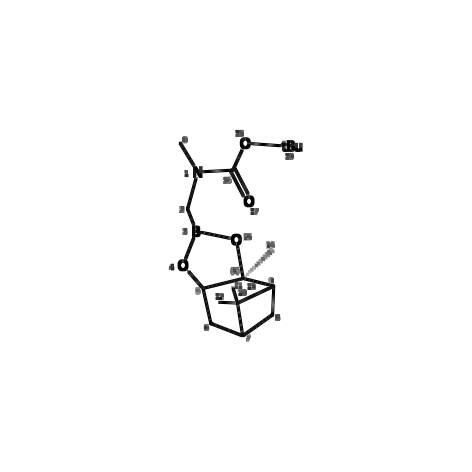 CN(CB1OC2CC3CC(C3(C)C)[C@]2(C)O1)C(=O)OC(C)(C)C